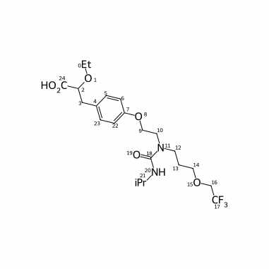 CCOC(Cc1ccc(OCCN(CCCOCC(F)(F)F)C(=O)NC(C)C)cc1)C(=O)O